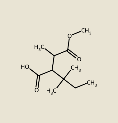 CCC(C)(C)C(C(=O)O)C(C)C(=O)OC